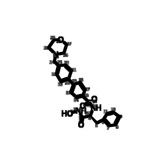 O=C(NO)[C@H](Cc1ccccc1)NS(=O)(=O)c1ccc(-c2ccc(CN3CCOCC3)cc2)cc1